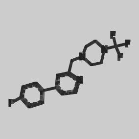 Fc1ccc(-c2ccnc(CN3CCN(C(F)(F)F)CC3)c2)cc1